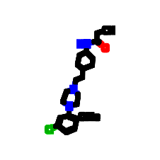 COc1ccc(Cl)cc1N1CCN(CCC2CCC(NC(=O)CC#N)CC2)CC1